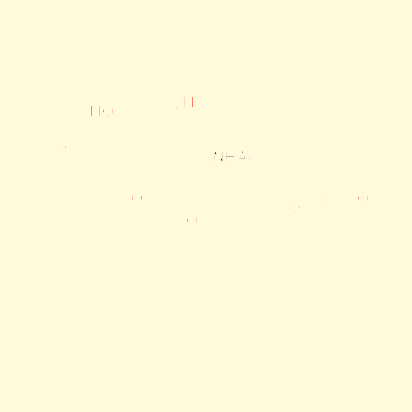 CC(=O)NC1C(Oc2ccccc2-c2cccc(OS(C)(=O)=O)c2)OC(CO)C(O)C1O